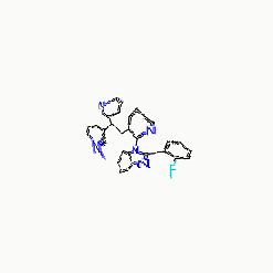 Fc1ccccc1-c1nc2ccccc2n1-c1ncccc1CC(c1cccnc1)c1cccnc1